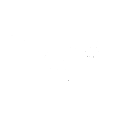 N=C(OC(N)=O)c1csc(CNC(=O)[C@@H]2[C@H](O)[C@@H](F)CN2C(=O)CNC(=O)CCCOc2ccccc2)c1